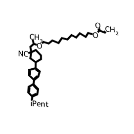 C=CC(=O)OCCCCCCCCCCCOC(C)CC1(C#N)CCCC(c2ccc(-c3ccc(C(C)CCC)cc3)cc2)C1